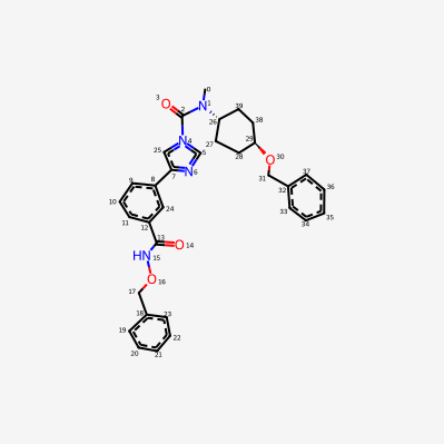 CN(C(=O)n1cnc(-c2cccc(C(=O)NOCc3ccccc3)c2)c1)[C@H]1CC[C@H](OCc2ccccc2)CC1